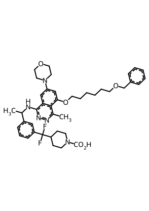 Cc1nnc(NC(C)c2cccc(C(F)(F)C3CCN(C(=O)O)CC3)c2)c2cc(N3CCOCC3)cc(OCCCCCCOCc3ccccc3)c12